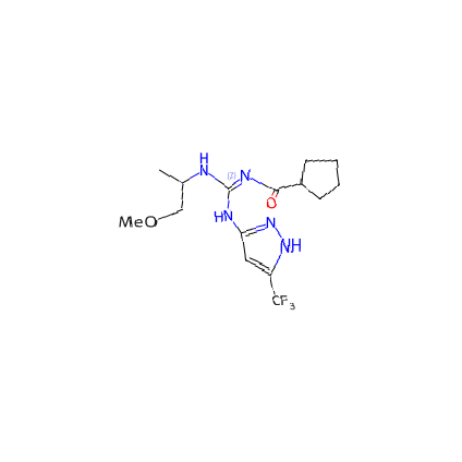 COCC(C)N/C(=N/C(=O)C1CCCC1)Nc1cc(C(F)(F)F)[nH]n1